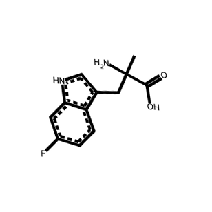 CC(N)(Cc1c[nH]c2cc(F)ccc12)C(=O)O